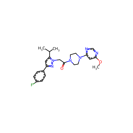 COc1cc(N2CCN(C(=O)Cn3nc(-c4ccc(F)cc4)cc3C(C)C)CC2)ncn1